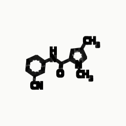 Cc1cc(C(=O)Nc2cccc(C#N)c2)n(C)c1